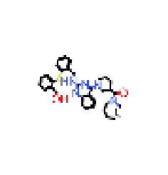 O=C(C1CCCN(c2nc(NCc3ccccc3Sc3ccccc3CO)nc3ccccc23)C1)N1CCCCCC1